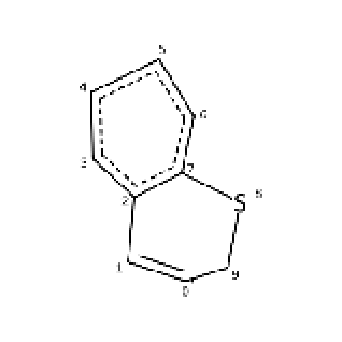 [C]1=Cc2ccccc2SC1